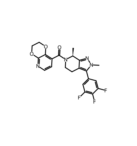 C[C@H]1c2nn(C)c(-c3cc(F)c(F)c(F)c3)c2CCN1C(=O)c1ccnc2c1OCCO2